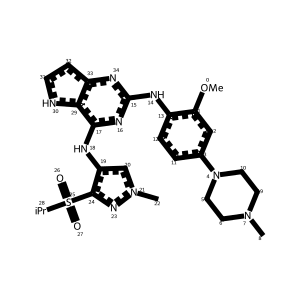 COc1cc(N2CCN(C)CC2)ccc1Nc1nc(Nc2cn(C)nc2S(=O)(=O)C(C)C)c2[nH]ccc2n1